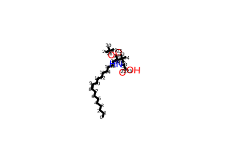 CCCCCCCC/C=C\CCCCCCCCC(NCC(=O)O)(C(=O)OC(C)(C)C)C(C)(C)C